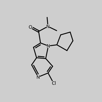 CN(C)C(=O)c1cc2cnc(Cl)cc2n1C1CCCC1